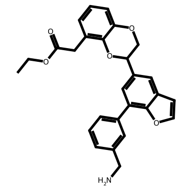 CCOC(=O)Cc1cccc2c1OC(c1cc(-c3cccc(CN)c3)c3occc3c1)CO2